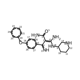 N=C(/C(C(N)=O)=C(/N)NC1CCCNC1)c1ccc(Oc2ccccc2)cc1